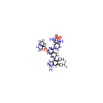 Cc1cc2[nH]ncc2c(N2CCc3c(nc(OCC45CCCN4CCC5)nc3N3CCCC4(CNS(=O)(=O)N4)C3)C2)c1C